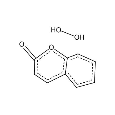 O=c1ccc2ccccc2o1.OO